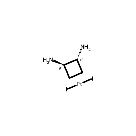 N[C@@H]1CC[C@H]1N.[I][Pt][I]